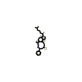 C/C1=C\C=C(\c2ccccc2)CC(=O)CC[C@@H]2[C@@H]1CC[C@]1(C)[C@@H]([C@H](C)CCCC(C)C)CC[C@@H]21